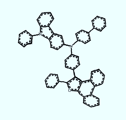 c1ccc(-c2ccc(N(c3ccc(-c4c(-c5ccccc5)oc5c6ccccc6c6ccccc6c45)cc3)c3ccc4c(c3)c3ccccc3n4-c3ccccc3)cc2)cc1